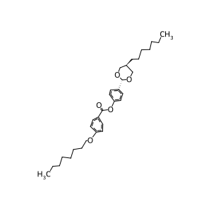 CCCCCCCCOc1ccc(C(=O)Oc2ccc([C@H]3OC[C@H](CCCCCCC)CO3)cc2)cc1